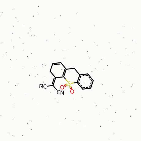 N#CC(C#N)=C1CC=CC2=C1S(=O)(=O)c1ccccc1C2